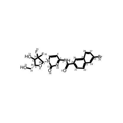 O=C(Nc1ccn([C@@H]2O[C@H](CO)C(O)C2(F)F)c(=O)n1)c1ccc2cc(Br)ccc2c1